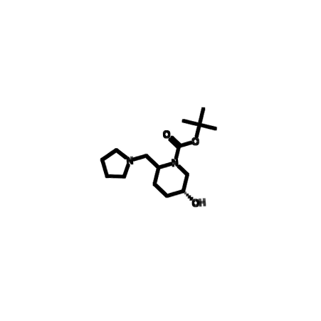 CC(C)(C)OC(=O)N1C[C@H](O)CCC1CN1CCCC1